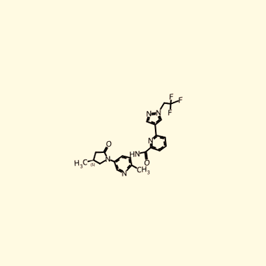 Cc1ncc(N2C[C@@H](C)CC2=O)cc1NC(=O)c1cccc(-c2cnn(CC(F)(F)F)c2)n1